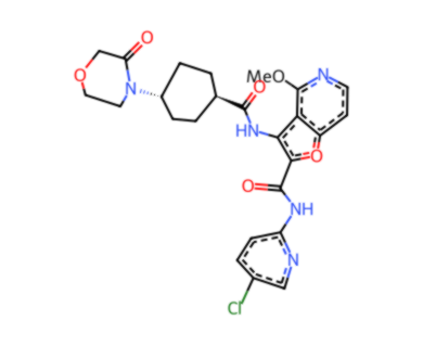 COc1nccc2oc(C(=O)Nc3ccc(Cl)cn3)c(NC(=O)[C@H]3CC[C@H](N4CCOCC4=O)CC3)c12